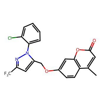 Cc1cc(=O)oc2cc(OCc3cc(C(F)(F)F)nn3-c3ccccc3Cl)ccc12